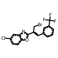 FC(F)(F)c1cccc(C=C(CBr)c2nc3cc(Cl)ccc3o2)c1